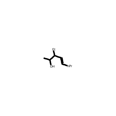 [CH2]CC/C=C/C(CC)C(C)O